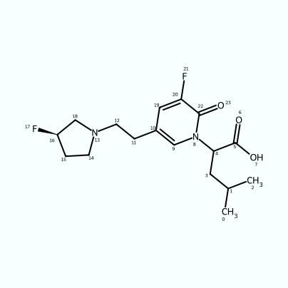 CC(C)CC(C(=O)O)n1cc(CCN2CC[C@@H](F)C2)cc(F)c1=O